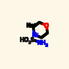 C1COCC[N-]1.NS(=O)(=O)O.[Na+]